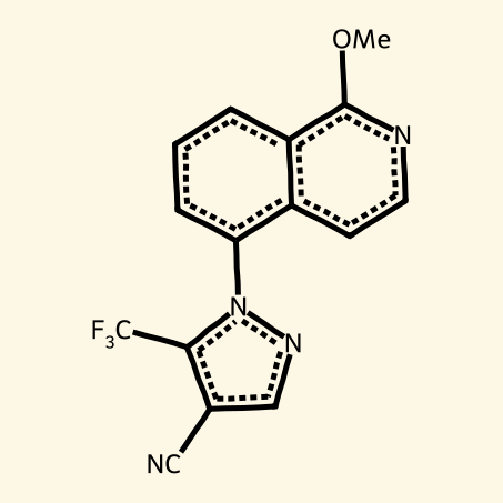 COc1nccc2c(-n3ncc(C#N)c3C(F)(F)F)cccc12